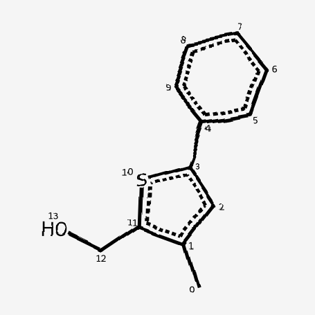 Cc1cc(-c2ccccc2)sc1CO